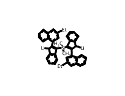 [Li][CH]1C(c2cc(CC)cc3ccccc23)=C([Si](C)(C)C2=C(c3cc(CC)cc4ccccc34)[CH]([Li])c3ccccc32)c2ccccc21